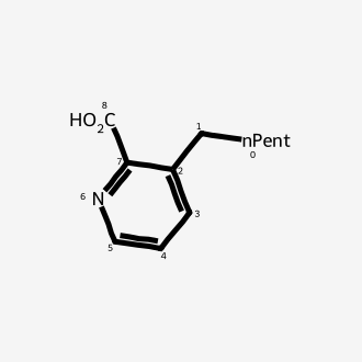 CCCCCCc1cccnc1C(=O)O